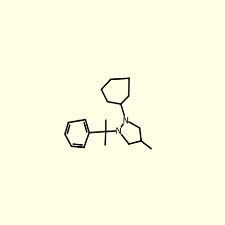 CC1CN(C2CCCCC2)N(C(C)(C)c2ccccc2)C1